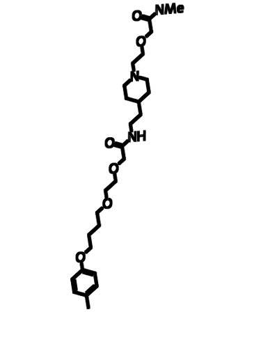 CNC(=O)COCCN1CCC(CCNC(=O)COCCOCCCCOc2ccc(C)cc2)CC1